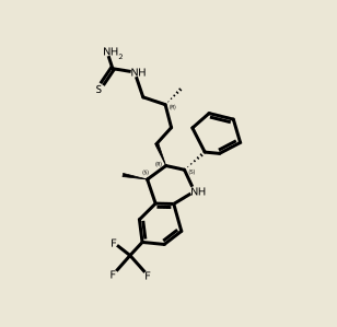 C[C@H](CC[C@@H]1[C@H](C)c2cc(C(F)(F)F)ccc2N[C@H]1C1C=CC=CC1)CNC(N)=S